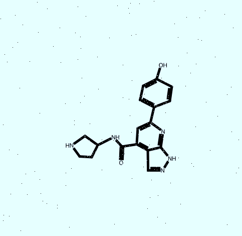 O=C(NC1CCNC1)c1cc(-c2ccc(O)cc2)nc2[nH]ncc12